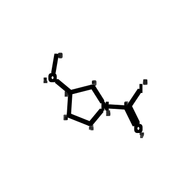 COC1CCN(C(=O)I)C1